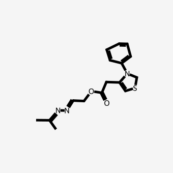 CC(C)=NN=CCOC(=O)CC1=CSCN1c1ccccc1